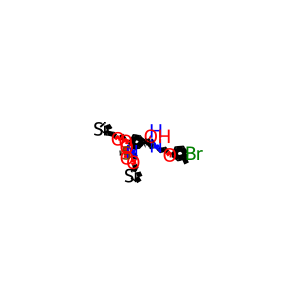 Cc1cc(OCCNC[C@H](O)c2ccc(OCOCC[Si](C)(C)C)c(N(COCC[Si](C)(C)C)S(C)(=O)=O)c2)ccc1Br